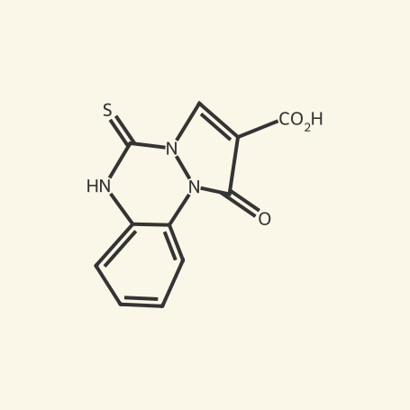 O=C(O)c1cn2c(=S)[nH]c3ccccc3n2c1=O